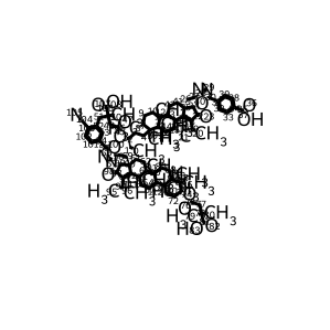 CC[C@H](CC[C@@]1(C)[C@H](C)CC[C@]2(C)[C@@H]1CC[C@@H]1C3=C(C(C)C)C(=O)C[C@]3(Cc3nnc(-c4ccc(C(=O)O)cc4)o3)CC[C@]12C)OC(=O)CC(C)(Cc1cc(-c2nnc(C[C@@]34CC[C@]5(C)[C@H](CC[C@@H]6[C@@]7(C)CC[C@H](OC(=O)CC(C)(C)C(=O)O)C(C)(C)[C@@H]7CC[C@]65C)C3=C(C(C)C)C(=O)C4)o2)ccc1C#N)C(=O)O